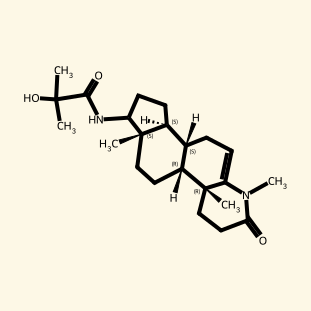 CN1C(=O)CC[C@@]2(C)C1=CC[C@@H]1[C@H]2CC[C@]2(C)C(NC(=O)C(C)(C)O)CC[C@@H]12